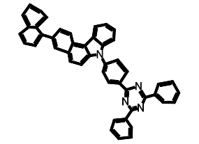 c1ccc(-c2nc(-c3ccccc3)nc(-c3ccc(-n4c5ccccc5c5c6ccc(-c7cccc8ccccc78)cc6ccc54)cc3)n2)cc1